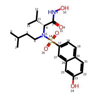 CC(C)CCN([C@@H](C(=O)NO)C(C)C)S(=O)(=O)c1ccc2ccc(O)cc2c1